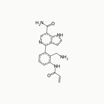 C=CC(=O)Nc1cccc(-c2ncc(C(N)=O)c3[nH]ccc23)c1CN